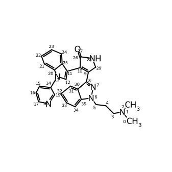 CN(C)CCCn1nc(C2=C(c3cn(-c4cccnc4)c4ccccc34)C(=O)NC2)c2ccccc21